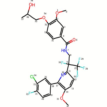 COc1cc(C(=O)NCC(F)(c2ccc(OC)c(-c3ccc(F)c(Cl)c3)n2)C(F)(F)F)ccc1OCC(C)O